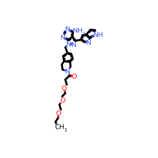 CCCOCCOCCOCCC(=O)N1CCc2cc(Cn3nc(-c4cnc5[nH]ccc5c4)c4c(N)ncnc43)ccc2C1